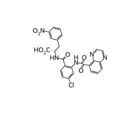 O=C(N[C@@H](Cc1cccc([N+](=O)[O-])c1)C(=O)O)c1ccc(Cl)cc1NS(=O)(=O)c1cccc2nccnc12